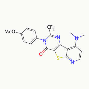 COc1ccc(-n2c(C(F)(F)F)nc3c(sc4nccc(N(C)C)c43)c2=O)cc1